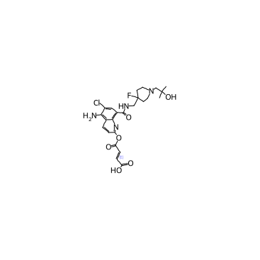 CC(C)(O)CN1CCC(F)(CNC(=O)c2cc(Cl)c(N)c3ccc(OC(=O)/C=C/C(=O)O)nc23)CC1